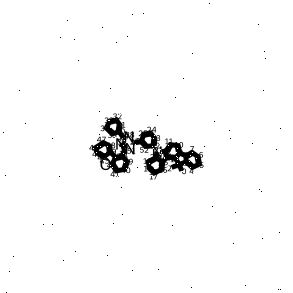 CC1(C)c2ccccc2-c2ccc3c(c21)c1ccccc1n3-c1cccc(-c2nc(-c3ccccc3)nc(-c3cccc4oc5ccccc5c34)n2)c1